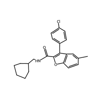 Cc1ccc2oc(C(=O)NCC3CCCCC3)c(-c3ccc(Cl)cc3)c2c1